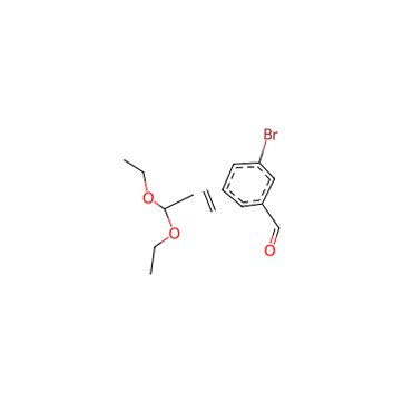 C=C.CCOC(C)OCC.O=Cc1cccc(Br)c1